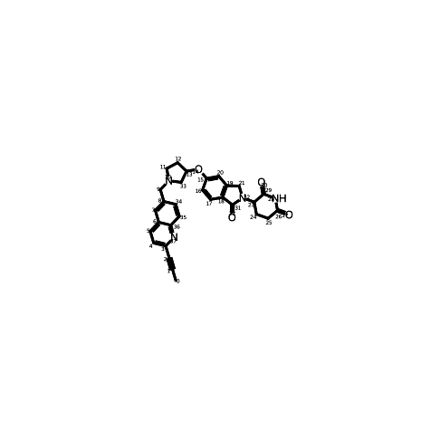 CC#Cc1ccc2cc(CN3CCC(Oc4ccc5c(c4)CN(C4CCC(=O)NC4=O)C5=O)C3)ccc2n1